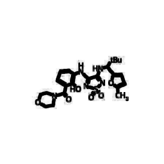 Cc1ccc(C(NC2=NS(=O)(=O)N=C2Nc2cccc(C(=O)N3CCOCC3)c2O)C(C)(C)C)o1